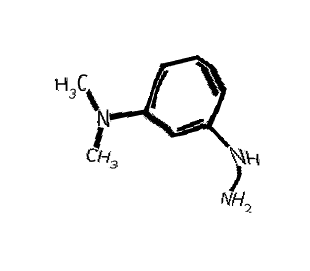 CN(C)c1cccc(NN)c1